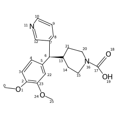 COc1ccc([C@@H](c2cccnc2)C2CCN(C(=O)O)CC2)cc1OC